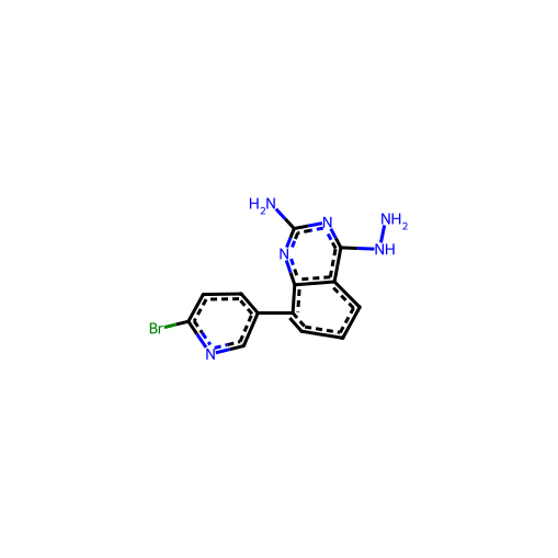 NNc1nc(N)nc2c(-c3ccc(Br)nc3)cccc12